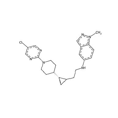 Cn1ncc2cc(NCCC3C[C@@H]3C3CCN(c4ncc(Cl)cn4)CC3)ccc21